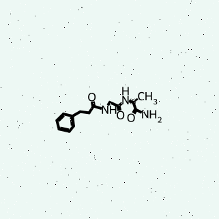 C[C@H](NC(=O)CNC(=O)CCc1ccccc1)C(N)=O